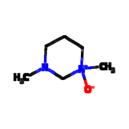 CN1CCC[N+](C)([O-])C1